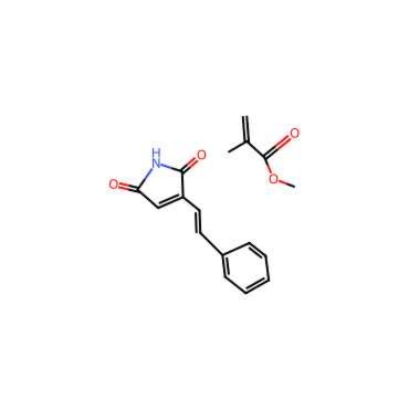 C=C(C)C(=O)OC.O=C1C=C(C=Cc2ccccc2)C(=O)N1